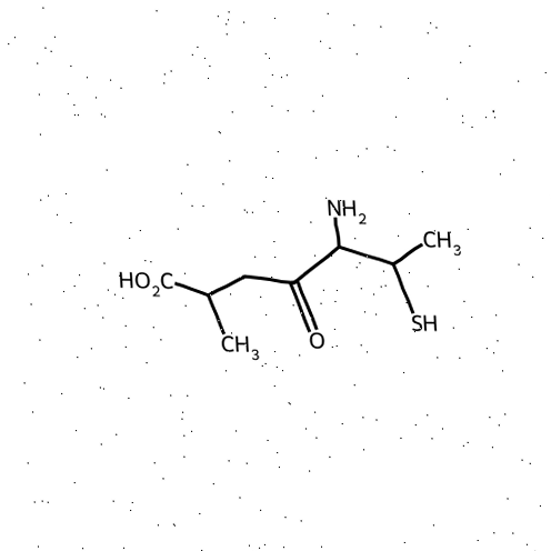 CC(CC(=O)C(N)C(C)S)C(=O)O